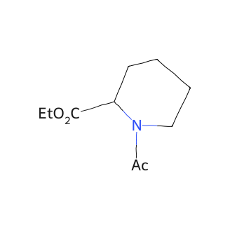 CCOC(=O)C1CCCCN1C(C)=O